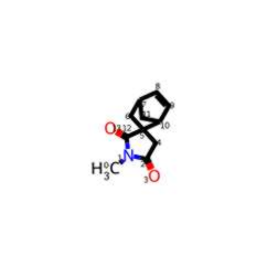 CN1C(=O)CC2(CC3C=CC2C3)C1=O